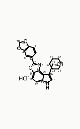 Cl.c1cc2c(cc1-c1nc3c(ccc4[nH]cc(C5CN6CCC5CC6)c43)o1)OCO2